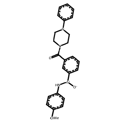 COc1ccc(N[S+]([O-])c2cccc(C(=O)N3CCN(c4ccccc4)CC3)c2)cc1